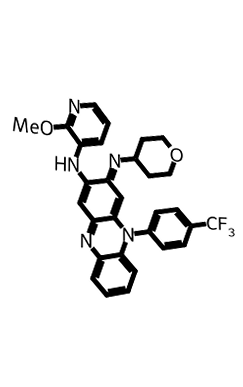 COc1ncccc1Nc1cc2nc3ccccc3n(-c3ccc(C(F)(F)F)cc3)c-2cc1=NC1CCOCC1